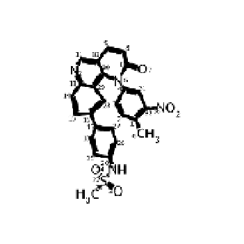 Cc1ccc(-n2c(=O)ccc3cnc4ccc(-c5ccc(NS(C)(=O)=O)cc5)cc4c32)cc1[N+](=O)[O-]